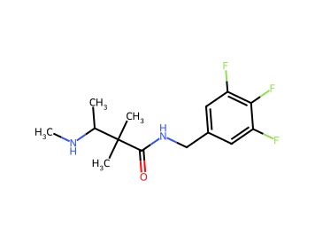 CNC(C)C(C)(C)C(=O)NCc1cc(F)c(F)c(F)c1